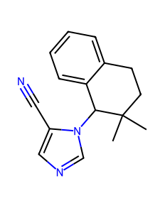 CC1(C)CCc2ccccc2C1n1cncc1C#N